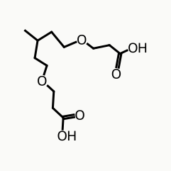 CC(CCOCCC(=O)O)CCOCCC(=O)O